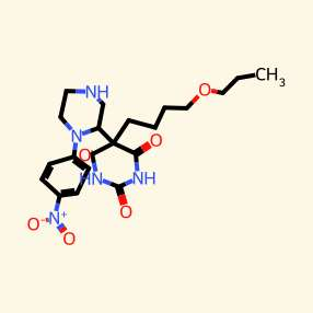 CCCOCCCCC1(C2CNCCN2c2ccc([N+](=O)[O-])cc2)C(=O)NC(=O)NC1=O